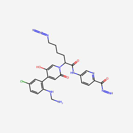 [N-]=[N+]=NCCCCC(C(=O)Nc1ccc(C(=O)N=N)nc1)n1cc(O)c(-c2cc(Cl)ccc2NCN)cc1=O